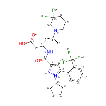 C[C@@H](C[C@@H](CC(=O)O)NC(=O)c1cc(-c2ccccc2C(F)(F)F)n(C2CCCC2)n1)N1CCCC(F)(F)C1